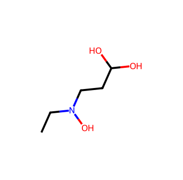 CCN(O)CCC(O)O